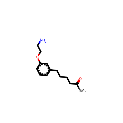 CNC(=O)CCCCc1cccc(OCCN)c1